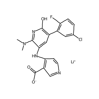 CN(C)c1nc(O)c(-c2cc(Cl)ccc2F)cc1Nc1ccncc1C(=O)[O-].[Li+]